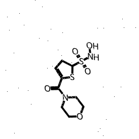 O=C(C1=CCC(S(=O)(=O)NO)S1)N1CCOCC1